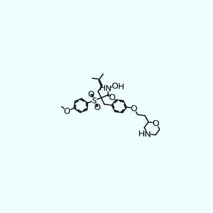 COc1ccc(S(=O)(=O)C(CC=C(C)C)(Cc2ccc(OCCC3CNCCO3)cc2)C(=O)NO)cc1